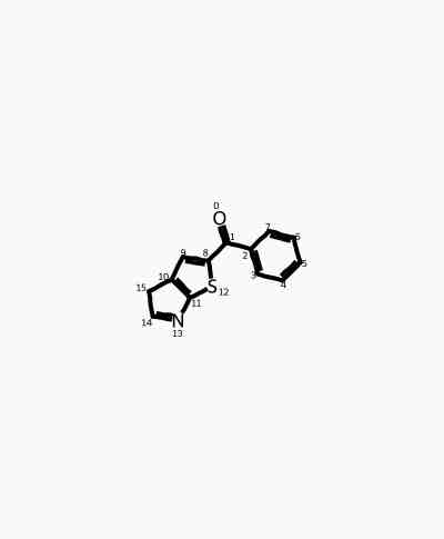 O=C(c1ccccc1)c1cc2c(s1)N=CC2